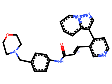 O=C(/C=C/c1cnccc1-c1cnn2ccccc12)Nc1ccc(CN2CCOCC2)cc1